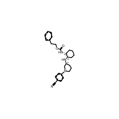 N#Cc1ccc(N2CCC[C@H](N[C@@H]3CCCC[C@H]3NC(=O)OCCc3ccccc3)C2)cc1